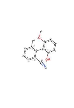 COc1cccc(O)c1-c1c(C)cccc1C#N